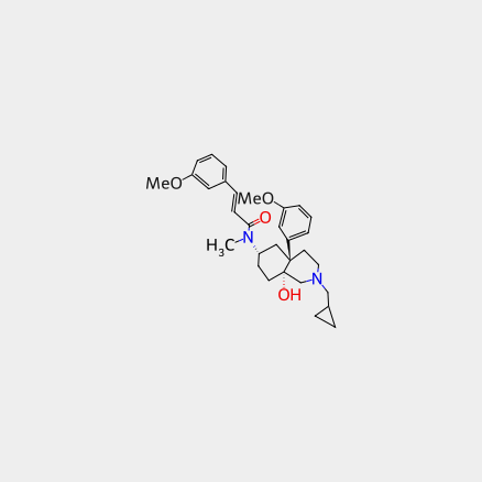 COc1cccc(C=CC(=O)N(C)[C@H]2CC[C@]3(O)CN(CC4CC4)CC[C@@]3(c3cccc(OC)c3)C2)c1